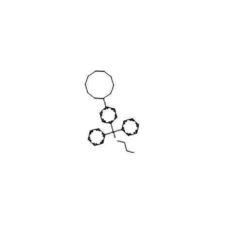 NCCNC(c1ccccc1)(c1ccccc1)c1ccc(C2CCCCCCCCC2)cc1